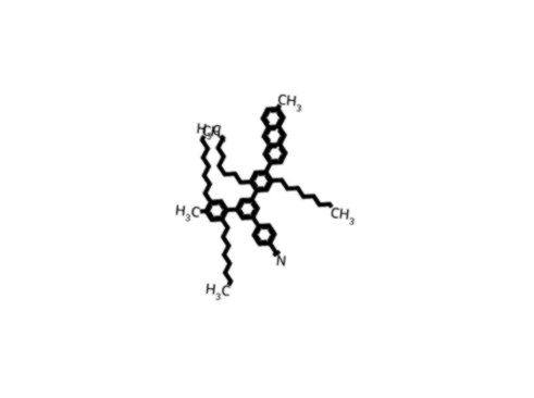 CCCCCCCCc1cc(-c2cc(-c3ccc(C#N)cc3)cc(-c3cc(CCCCCCCC)c(-c4ccc5cc6cc(C)ccc6cc5c4)cc3CCCCCCCC)c2)c(CCCCCCCC)cc1C